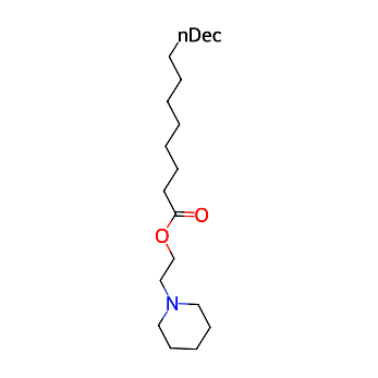 CCCCCCCCCCCCCCCCCC(=O)OCCN1CCCCC1